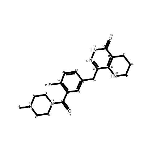 CN1CCN(C(=O)c2cc(Cc3n[nH]c(=O)c4c3NCCC4)ccc2F)CC1